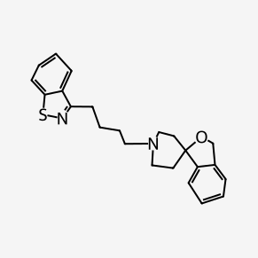 c1ccc2c(c1)COC21CCN(CCCCc2nsc3ccccc23)CC1